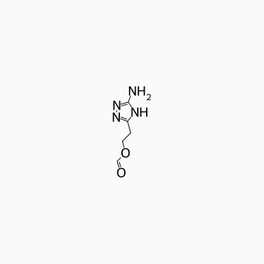 Nc1nnc(CCOC=O)[nH]1